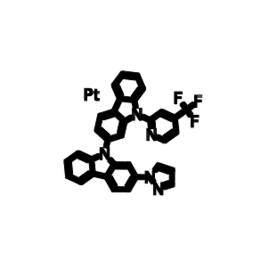 FC(F)(F)c1ccnc(-n2c3ccccc3c3ccc(-n4c5ccccc5c5ccc(-n6cccn6)cc54)cc32)c1.[Pt]